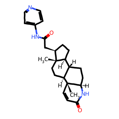 C[C@]12C=CC(=O)N[C@@H]1CC[C@@H]1[C@@H]2CC[C@]2(C)[C@@H](CC(=O)Nc3ccncc3)CC[C@@H]12